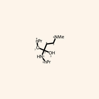 CCCNC(O)(CCNC)OCCC